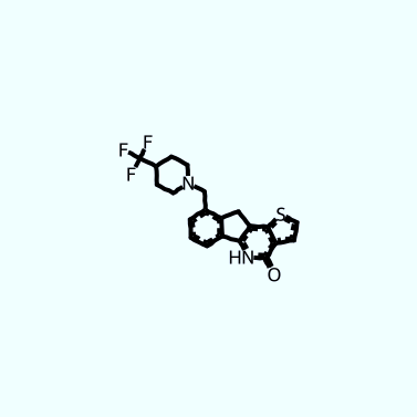 O=c1[nH]c2c(c3sccc13)Cc1c(CN3CCC(C(F)(F)F)CC3)cccc1-2